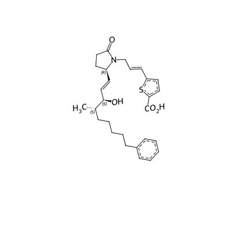 C[C@@H](CCCCCc1ccccc1)[C@H](O)C=C[C@H]1CCC(=O)N1CC=Cc1ccc(C(=O)O)s1